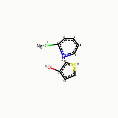 Clc1ccccn1.[Na+].[O-]c1ccsc1